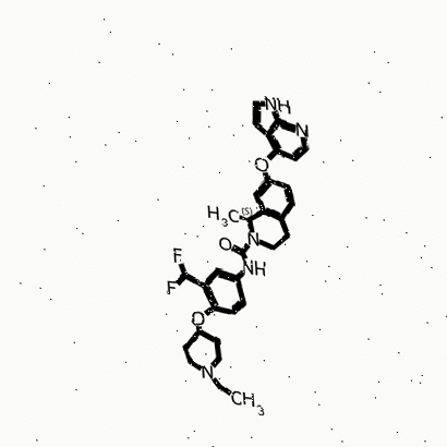 CCN1CCC(Oc2ccc(NC(=O)N3CCc4ccc(Oc5ccnc6[nH]ccc56)cc4[C@@H]3C)cc2C(F)F)CC1